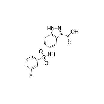 O=C(O)c1n[nH]c2ccc(NS(=O)(=O)c3cccc(F)c3)cc12